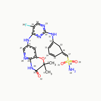 CC1(C)Oc2cc(Nc3nc(NC4=CC=CC(=CS(N)(=O)=O)C4)ncc3F)cnc2NC1=O